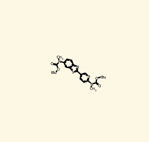 CN(C(=O)OC(C)(C)C)c1ccc2nc(-c3ccc(N(C)C(=O)OC(C)(C)C)nc3)sc2c1